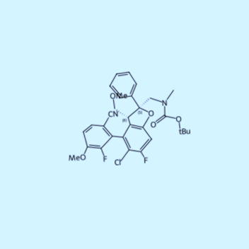 COC[C@H]1c2c(cc(F)c(Cl)c2-c2c(C#N)ccc(OC)c2F)O[C@]1(CN(C)C(=O)OC(C)(C)C)c1ccccc1